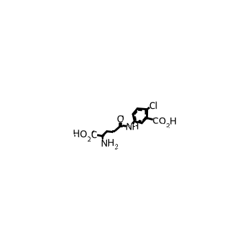 NC(CCC(=O)Nc1ccc(Cl)c(C(=O)O)c1)C(=O)O